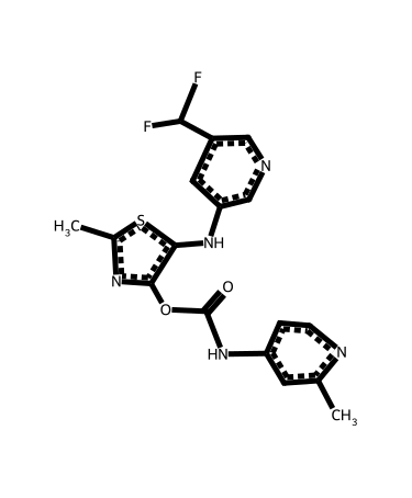 Cc1cc(NC(=O)Oc2nc(C)sc2Nc2cncc(C(F)F)c2)ccn1